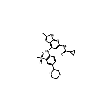 Cc1nc2c(Nc3ccc(C4COCCO4)cc3S(C)(=O)=O)cc(NC(=O)C3CC3)nc2[nH]1